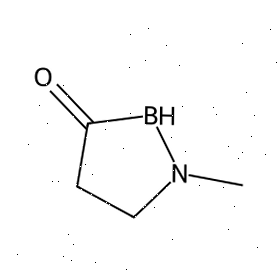 CN1BC(=O)CC1